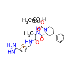 CC(=O)O.CC(NC(=O)[C@H]1C[C@@H](c2ccccc2)CCN1C(=O)OC(C)(C)C)C(=O)NCc1ccc(C(=N)N)s1